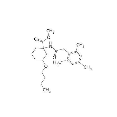 CCCCOC1CCCC(NC(=O)Cc2c(C)cc(C)cc2C)(C(=O)OC)C1